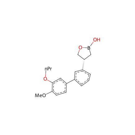 CCCOc1cc(-c2cccc([C@@H]3COB(O)C3)c2)ccc1OC